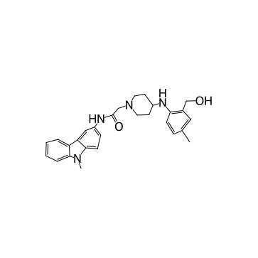 Cc1ccc(NC2CCN(CC(=O)Nc3ccc4c(c3)c3ccccc3n4C)CC2)c(CO)c1